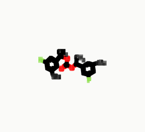 CC(OC(=O)OC(C)c1cc(F)cc(C(C)(C)C)c1)c1cc(F)cc(C(C)(C)C)c1